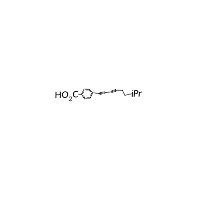 CC(C)CCC#CC#Cc1ccc(C(=O)O)cc1